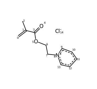 C=C(C)C(=O)OCC[n+]1ccccc1.[Cl-]